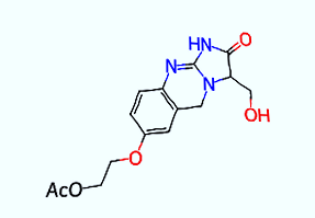 CC(=O)OCCOc1ccc2c(c1)CN1C(=N2)NC(=O)C1CO